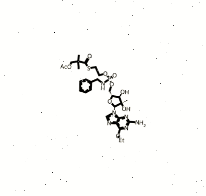 CCOc1nc(N)nc2c1ncn2[C@@H]1O[C@H](COP(=O)(NCc2ccccc2)OCCSC(=O)C(C)(C)COC(C)=O)[C@@H](O)[C@@]1(C)O